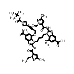 CCn1nc(C)cc1C(=O)Nc1nc2cc(C(=O)O)cc(OC)c2n1CC=CCn1c(NC(=O)c2cc(C)nn2CC)nc2cc(C(N)=O)cc(OCC#CC3CN(C(=O)OC(C)(C)C)C3)c21